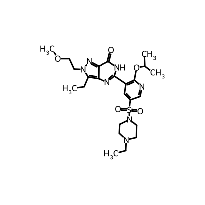 CCc1c2nc(-c3cc(S(=O)(=O)N4CCN(CC)CC4)cnc3OC(C)C)[nH]c(=O)c2nn1CCOC